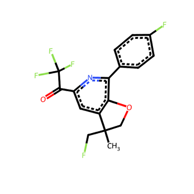 CC1(CF)COc2c1cc(C(=O)C(F)(F)F)nc2-c1ccc(F)cc1